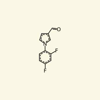 O=Cc1ccn(-c2ccc(F)cc2F)c1